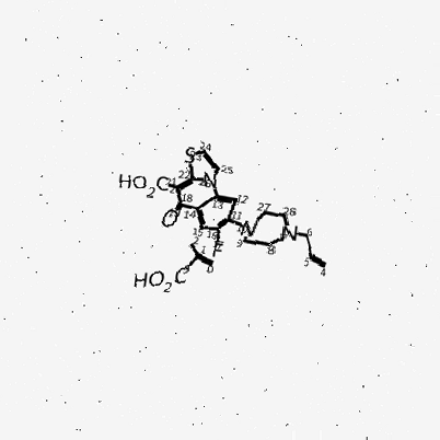 C=C(C)C(=O)O.C=CCN1CCN(c2cc3c(cc2F)c(=O)c(C(=O)O)c2sccn23)CC1